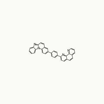 c1cnc2c(c1)ccc1ccc(-c3ccc(-c4ccc5c(ccc6nc7ccccc7n65)c4)cc3)nc12